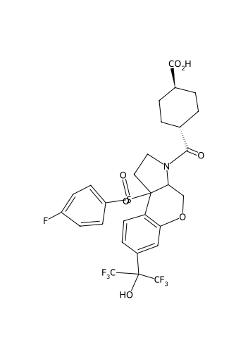 O=C(O)[C@H]1CC[C@H](C(=O)N2CCC3(S(=O)(=O)c4ccc(F)cc4)c4ccc(C(O)(C(F)(F)F)C(F)(F)F)cc4OCC23)CC1